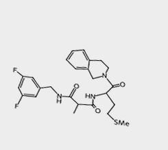 CSCCC(NC(=O)C(C)C(=O)NCc1cc(F)cc(F)c1)C(=O)N1CCc2ccccc2C1